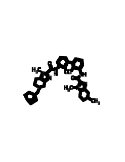 CN1CCc2c(nc(C(=O)Nc3cccc(-c4cccc(NC(=O)c5nc6c(n5C)CCN(CC57CCC(CC5)C7)C6)c4Cl)c3Cl)n2C)C1